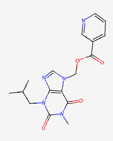 CC(C)Cn1c(=O)n(C)c(=O)c2c1ncn2COC(=O)c1cccnc1